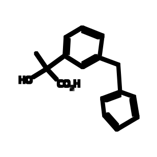 CC(O)(C(=O)O)c1cccc(Cc2ccccc2)c1